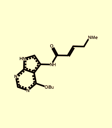 CNCC=CC(=O)Nc1c[nH]c2ncnc(OCC(C)C)c12